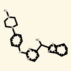 CC(=O)N1CCN(c2ccc(Oc3nccc(C(C#N)c4nc5ccccc5s4)n3)cc2)CC1